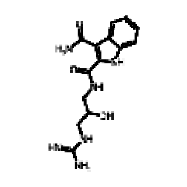 N=C(N)NCC(O)CNC(=O)c1[nH]c2cc[c]cc2c1C(N)=O